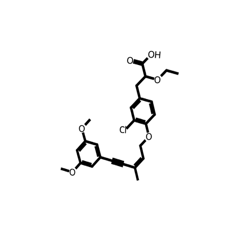 CCOC(Cc1ccc(OCC=C(C)C#Cc2cc(OC)cc(OC)c2)c(Cl)c1)C(=O)O